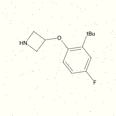 CC(C)(C)c1cc(F)ccc1OC1CNC1